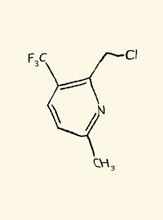 Cc1ccc(C(F)(F)F)c(CCl)n1